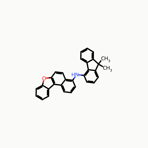 CC1(C)c2ccccc2-c2c(Nc3cccc4c3ccc3oc5ccccc5c34)cccc21